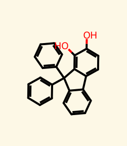 Oc1ccc2c(c1O)C(c1ccccc1)(c1ccccc1)c1ccccc1-2